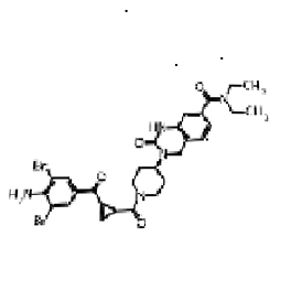 CCN(CC)C(=O)c1ccc2c(c1)NC(=O)N(C1CCN(C(=O)C3CC3C(=O)c3cc(Br)c(N)c(Br)c3)CC1)C2